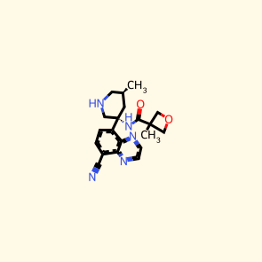 C[C@@H]1CNC[C@](NC(=O)C2(C)COC2)(c2ccc(C#N)c3nccnc23)C1